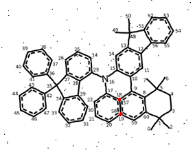 CC1(C)CCC(C)(C)c2c(-c3cc4c(cc3N(c3ccccc3)c3cccc5c3-c3ccccc3C5(c3ccccc3)c3ccccc3)C(C)(C)c3ccccc3-4)cccc21